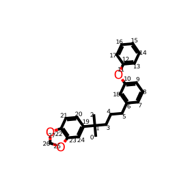 CC(C)(CCCc1cccc(Oc2ccccc2)c1)c1ccc2c(c1)OCO2